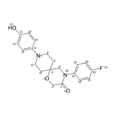 O=C1COC2(CCN(c3ccc(O)cc3)CC2)CN1c1ccc(F)cc1